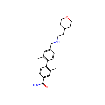 Cc1cc(CNCCC2CCOCC2)ccc1-c1ccc(C(N)=O)cc1C